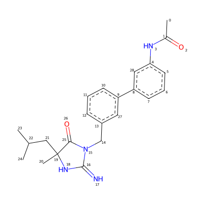 CC(=O)Nc1cccc(-c2cccc(CN3C(=N)NC(C)(CC(C)C)C3=O)c2)c1